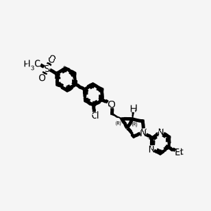 CCc1cnc(N2CC3[C@@H](COc4ccc(-c5ccc(S(C)(=O)=O)cc5)cc4Cl)[C@@H]3C2)nc1